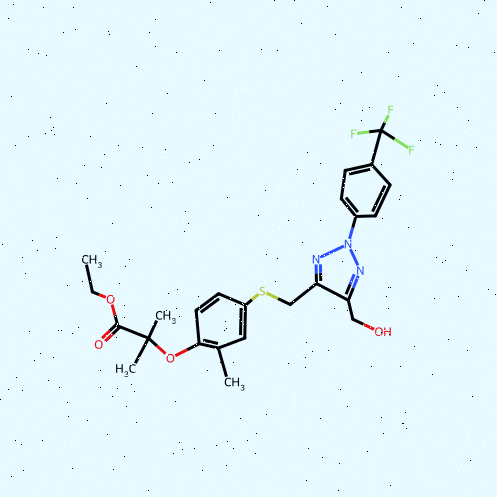 CCOC(=O)C(C)(C)Oc1ccc(SCc2nn(-c3ccc(C(F)(F)F)cc3)nc2CO)cc1C